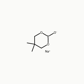 CC1(C)COB([O-])OC1.[Na+]